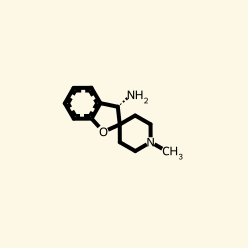 CN1CCC2(CC1)Oc1ccccc1[C@@H]2N